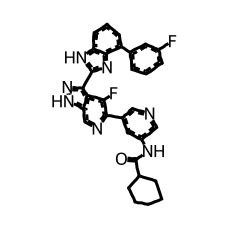 O=C(Nc1cncc(-c2ncc3[nH]nc(-c4nc5c(-c6cccc(F)c6)cccc5[nH]4)c3c2F)c1)C1CCCCC1